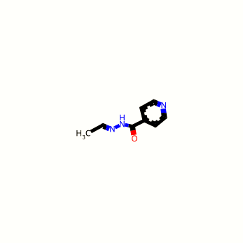 CC=NNC(=O)c1ccncc1